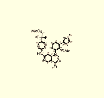 CCC(=O)c1cnc(Nc2cnc(C(F)(F)COC)cn2)cc1N(C)c1cccc(-c2ncn(C)n2)c1OC